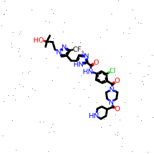 CC(C)(O)CCn1cc(Cc2cnc(C(=O)Nc3ccc(C(=O)N4CCN(C(=O)C5CCNCC5)CC4)c(Cl)c3)[nH]2)c(C(F)(F)F)n1